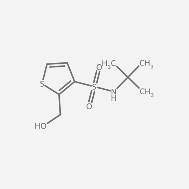 CC(C)(C)NS(=O)(=O)c1ccsc1CO